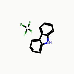 F[B-](F)(F)F.c1ccc2c(c1)[nH]c1ccccc12